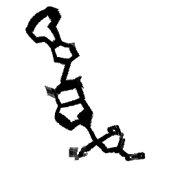 CC(C)(CNC=O)c1ccc2[nH]c(-c3cnc4ccccc4c3)nc2c1